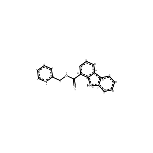 O=C(OCc1ccccn1)c1cccc2c1[nH]c1ccccc12